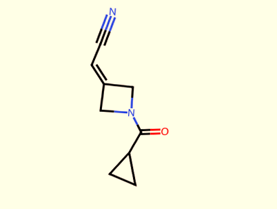 N#CC=C1CN(C(=O)C2CC2)C1